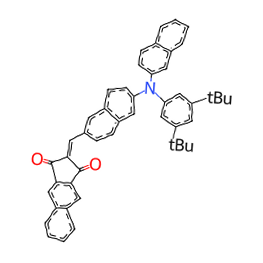 CC(C)(C)c1cc(N(c2ccc3ccccc3c2)c2ccc3cc(C=C4C(=O)c5cc6ccccc6cc5C4=O)ccc3c2)cc(C(C)(C)C)c1